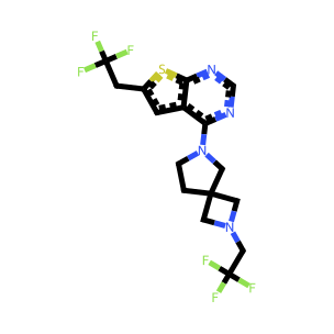 FC(F)(F)Cc1cc2c(N3CCC4(CN(CC(F)(F)F)C4)C3)ncnc2s1